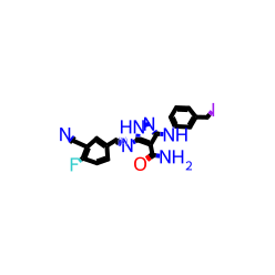 N#Cc1cc(/C=N/c2[nH]nc(Nc3cccc(CI)c3)c2C(N)=O)ccc1F